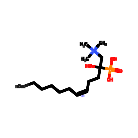 CCCCCCCCCCCCCCC/C=C\CCC(O)(C[N+](C)(C)C)P(=O)(O)O